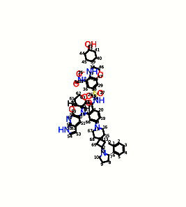 Cc1ccccc1[C@@H]1CCCN1C1CC2(CCN(c3ccc(C(=O)NS(=O)(=O)c4cc5c(c([N+](=O)[O-])c4)N[C@H](C4CCC(O)CC4)CO5)c(N4c5cc6cc[nH]c6nc5O[C@H]5CCOC[C@@H]54)c3)CC2)C1